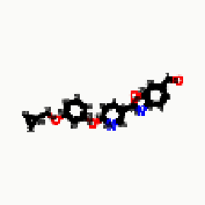 O=Cc1ccc2nc(-c3ccc(Oc4cccc(OCC5CC5)c4)nc3)oc2c1